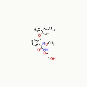 CON=C(C(=O)NOCCO)c1ccccc1COc1ccc(C)cc1C